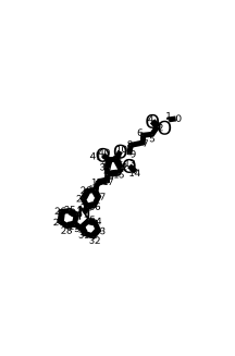 CCOC(=O)CCCCCOc1c(OC)cc(C=Cc2ccc(-n3c4ccccc4c4ccccc43)cc2)cc1OC